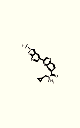 CN(CC1CC1)C(=O)c1ccc2ncc(-c3cnc4nn(C)cc4c3)nc2c1